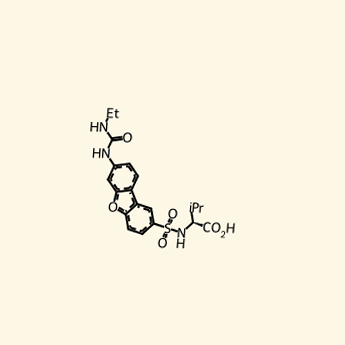 CCNC(=O)Nc1ccc2c(c1)oc1ccc(S(=O)(=O)N[C@H](C(=O)O)C(C)C)cc12